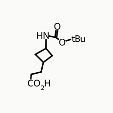 CC(C)(C)OC(=O)NC1CC(CCC(=O)O)C1